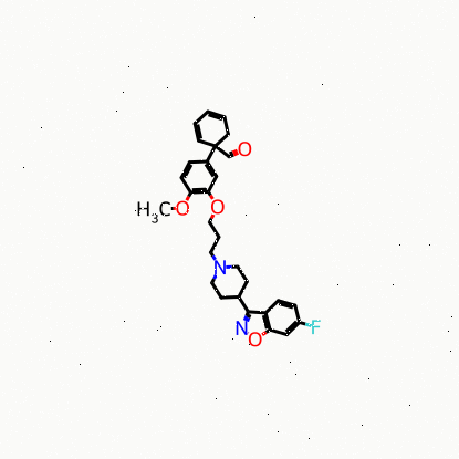 COc1ccc(C2(C=O)C=CC=CC2)cc1OCCCN1CCC(c2noc3cc(F)ccc23)CC1